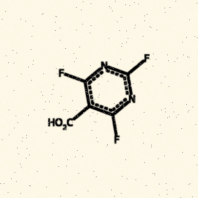 O=C(O)c1c(F)nc(F)nc1F